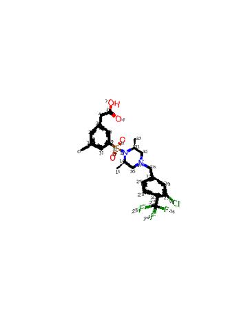 Cc1cc(CC(=O)O)cc(S(=O)(=O)N2[C@H](C)CN(Cc3ccc(C(F)(F)F)c(Cl)c3)C[C@@H]2C)c1